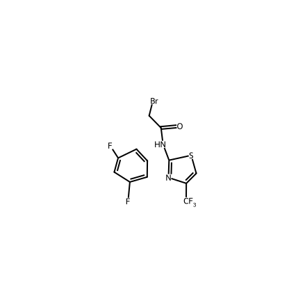 Fc1cccc(F)c1.O=C(CBr)Nc1nc(C(F)(F)F)cs1